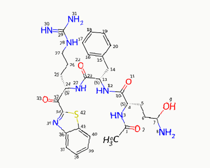 CC(=O)N[C@@H](CCC(N)O)C(=O)N[C@@H](Cc1ccccc1)C(=O)N[C@@H](CCCNC(=N)N)C(=O)c1nc2ccccc2s1